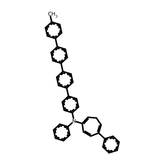 Cc1ccc(-c2ccc(-c3ccc(-c4ccc(N(C5=CCC=C(c6ccccc6)C=C5)c5ccccc5)cc4)cc3)cc2)cc1